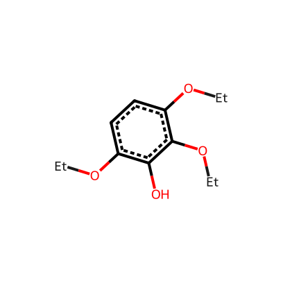 CCOc1ccc(OCC)c(OCC)c1O